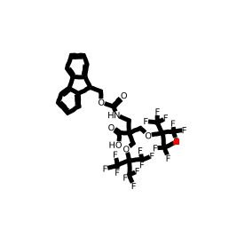 O=C(NCC(COC(C(F)(F)F)(C(F)(F)F)C(F)(F)F)(COC(C(F)(F)F)(C(F)(F)F)C(F)(F)F)C(=O)O)OCC1c2ccccc2-c2ccccc21